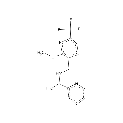 COc1nc(C(F)(F)F)ccc1CNC(C)c1ncccn1